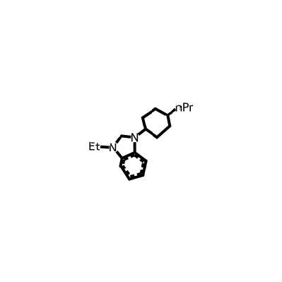 CCCC1CCC(N2CN(CC)c3ccccc32)CC1